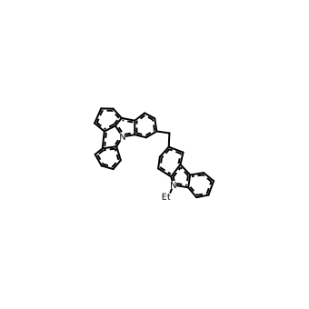 CCn1c2ccccc2c2cc(Cc3ccc4c5cccc6c7ccccc7n(c4c3)c65)ccc21